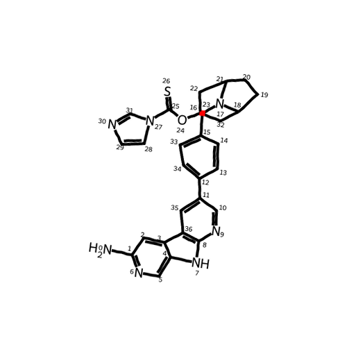 Nc1cc2c(cn1)[nH]c1ncc(-c3ccc(CN4C5CCC4CC(OC(=S)n4ccnc4)C5)cc3)cc12